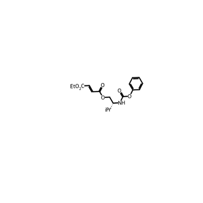 CCOC(=O)/C=C/C(=O)OC[C@H](NC(=O)Oc1ccccc1)C(C)C